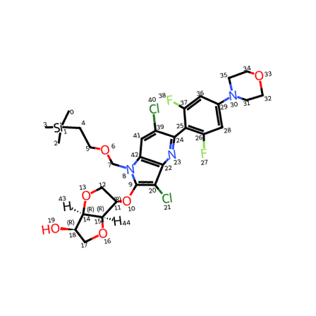 C[Si](C)(C)CCOCn1c(O[C@@H]2CO[C@H]3[C@@H]2OC[C@H]3O)c(Cl)c2nc(-c3c(F)cc(N4CCOCC4)cc3F)c(Cl)cc21